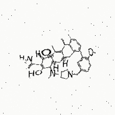 C=C(N)C1=C(O)C(N(C)C)[C@@H]2C[C@@H]3Cc4c(-c5cc(CN6CCCC6)ccc5OC)ccc(C)c4C(=C)C3=C(C)[C@]2(O)C1=C